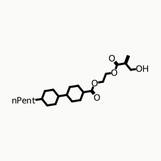 C=C(CO)C(=O)OCCOC(=O)C1CCC(C2CCC(CCCCC)CC2)CC1